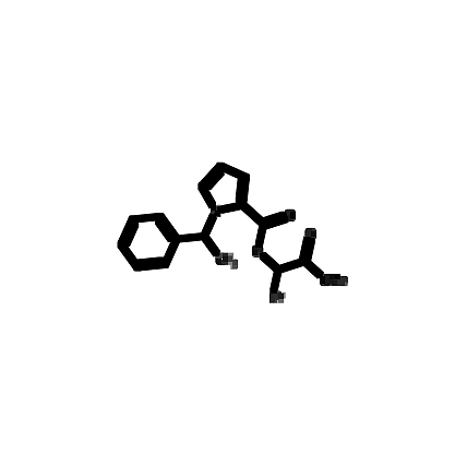 COC(=O)C(OC(=O)c1cccn1C(C)c1ccccc1)C(C)C